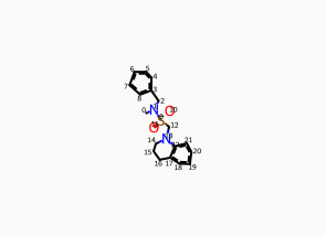 CN(Cc1ccccc1)S(=O)(=O)CN1CCCc2ccccc21